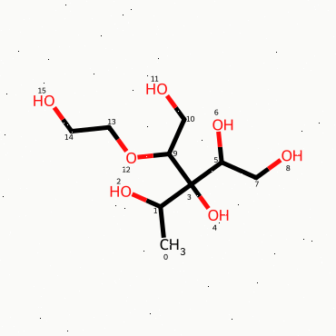 CC(O)C(O)(C(O)CO)C(CO)OCCO